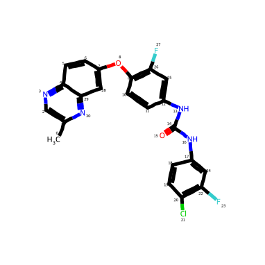 Cc1cnc2ccc(Oc3ccc(NC(=O)Nc4ccc(Cl)c(F)c4)cc3F)cc2n1